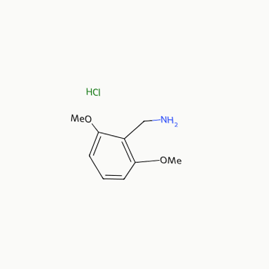 COc1cccc(OC)c1CN.Cl